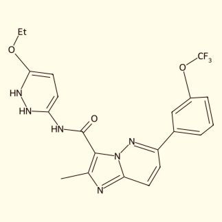 CCOC1=CC=C(NC(=O)c2c(C)nc3ccc(-c4cccc(OC(F)(F)F)c4)nn23)NN1